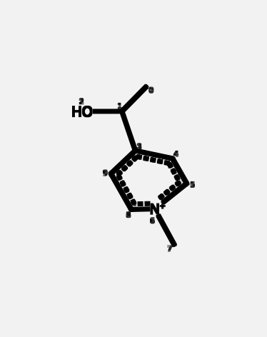 CC(O)c1cc[n+](C)cc1